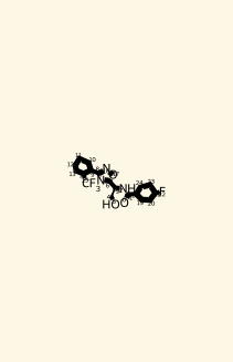 O=C(N[C@@H](CO)c1nc(-c2ccccc2C(F)(F)F)no1)c1ccc(F)cc1